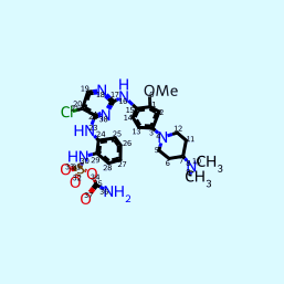 COc1cc(N2CCC(N(C)C)CC2)ccc1Nc1ncc(Cl)c(Nc2ccccc2NS(=O)(=O)OC(N)=O)n1